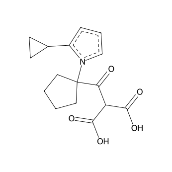 O=C(O)C(C(=O)O)C(=O)C1(n2cccc2C2CC2)CCCC1